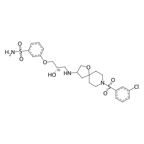 NS(=O)(=O)c1cccc(OC[C@@H](O)CNC2COC3(CCN(S(=O)(=O)c4cccc(Cl)c4)CC3)C2)c1